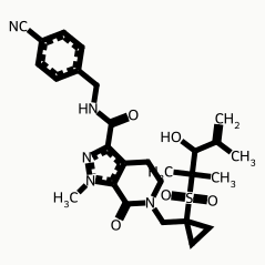 C=C(C)C(O)C(C)(C)S(=O)(=O)C1(CN2CCc3c(C(=O)NCc4ccc(C#N)cc4)nn(C)c3C2=O)CC1